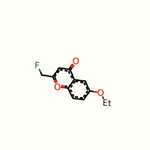 CCOc1ccc2oc(CF)cc(=O)c2c1